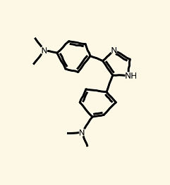 CN(C)c1ccc(-c2nc[nH]c2-c2ccc(N(C)C)cc2)cc1